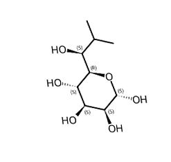 CC(C)[C@H](O)[C@H]1O[C@H](O)[C@@H](O)[C@@H](O)[C@@H]1O